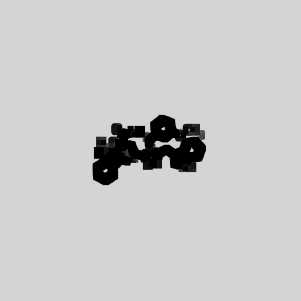 COc1cccc(Cn2c(Cc3c[nH]c4ccccc34)nnc2[C@H](Cc2c[nH]c3ccccc23)CC(C)(N)C(N)=O)c1